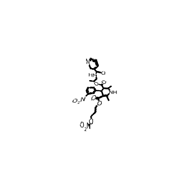 CC1=C(C(=O)OCCCO[N+](=O)[O-])C(c2cccc([N+](=O)[O-])c2)C(C(=O)OC(C)CNC(=O)c2cccnc2)=C(C)N1